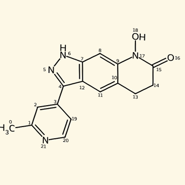 Cc1cc(-c2n[nH]c3cc4c(cc23)CCC(=O)N4O)ccn1